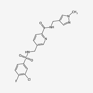 Cn1cc(CNC(=O)c2ccc(CNS(=O)(=O)c3ccc(F)c(Cl)c3)cn2)cn1